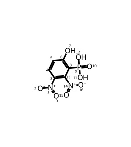 O=[N+]([O-])c1ccc(O)c(P(=O)(O)O)c1[N+](=O)[O-]